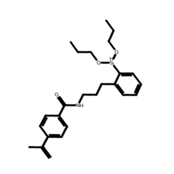 C=C(C)c1ccc(C(=O)NCCCc2ccccc2[SiH](OCCC)OCCC)cc1